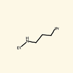 CCNCCCC(C)C